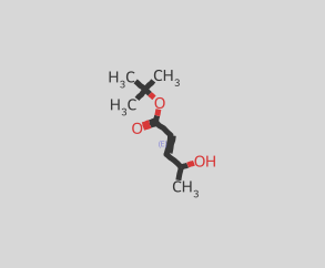 CC(O)/C=C/C(=O)OC(C)(C)C